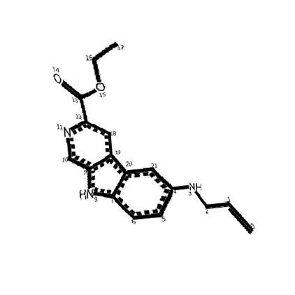 C=CCNc1ccc2[nH]c3cnc(C(=O)OCC)cc3c2c1